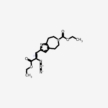 CCOC(=O)/C(=C/c1cc2c(s1)CCN(C(=O)OCC)CC2)N=[N+]=[N-]